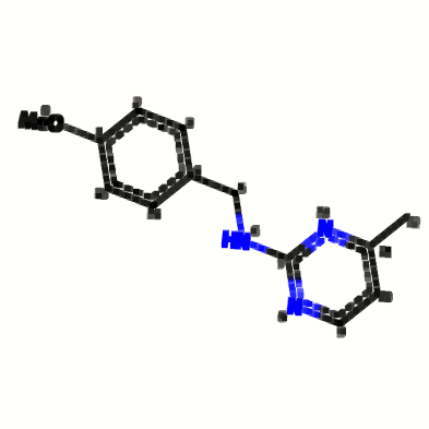 COc1ccc(CNc2nccc(C)n2)cc1